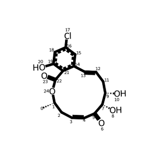 C[C@H]1C/C=C\C(=O)[C@@H](O)[C@@H](O)C/C=C/c2cc(Cl)cc(O)c2C(=O)O1